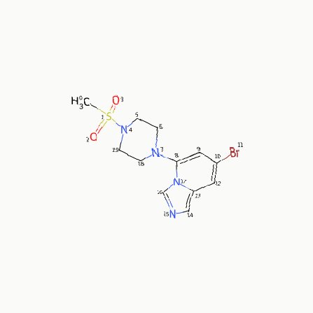 CS(=O)(=O)N1CCN(c2cc(Br)cc3cncn23)CC1